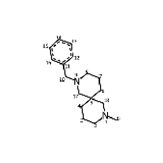 CN1CCCC2(CCCN(Cc3ccccc3)C2)C1